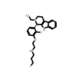 FCCCNCCOc1cccc([C@@H]2c3[nH]c4ccccc4c3CCN2CC(F)(F)F)c1Cl